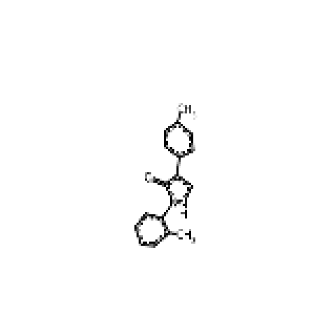 Cc1ccc(-c2c[nH]n(-c3ccccc3C)c2=O)cc1